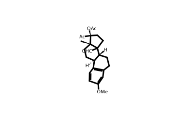 COc1ccc2c(c1)CC[C@@H]1[C@@H]2CC[C@@]2(C)C1(C=O)CC[C@@]2(OC(C)=O)C(C)=O